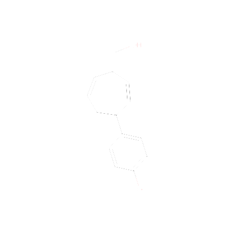 OC[C@H]1C=CCC(c2ccc(O)cc2)C=C1